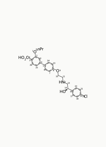 CCCOc1cc(-c2ccc(OCCNC[C@H](O)c3ccc(Cl)cc3)cc2)ccc1C(=O)O